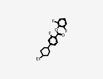 CCC1CCC(c2ccc(C(=O)Oc3c(F)cccc3F)c(F)c2)CC1